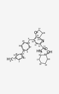 Cc1cnc(-c2ccc(Cc3cc(C(=O)N[C@H]4CCCC[C@@H]4O)nc4c3OCC4)cc2)s1